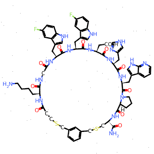 NCCCC[C@@H]1NC(=O)CCSCc2cccc(c2)CSC[C@@H](C(N)=O)NC(=O)[C@@H]2CCCN2C(=O)[C@H](Cc2c[nH]c3ncccc23)NC(=O)[C@H](Cc2c[nH]cn2)NC(=O)[C@H](CC(=O)O)NC(=O)[C@H](Cc2c[nH]c3ccc(F)cc23)NC(=O)[C@H](Cc2c[nH]c3ccc(F)cc23)NC(=O)CNC1=O